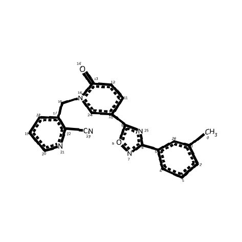 Cc1cccc(-c2noc(-c3ccc(=O)n(Cc4cccnc4C#N)c3)n2)c1